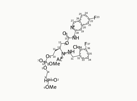 CO[PH](=O)CCOP(=O)(OC)OCC[C@@H](COC(=O)Nc1cc2cc(F)ccc2cn1)N(NCc1cccc(F)c1Cl)C(C)=O